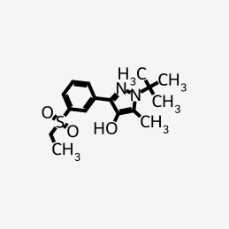 CCS(=O)(=O)c1cccc(-c2nn(C(C)(C)C)c(C)c2O)c1